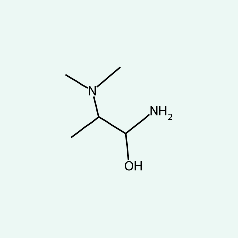 CC(C(N)O)N(C)C